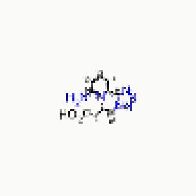 C[C@H](CCC(=O)O)n1nnnc1-c1cccc(N)n1